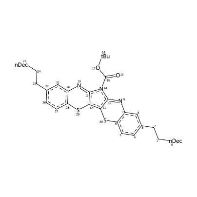 CCCCCCCCCCCCc1ccc2c(c1)N=c1c(c3c(n1C(=O)OC(C)(C)C)=Nc1cc(CCCCCCCCCCCC)ccc1S3)S2